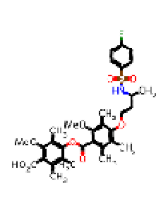 COc1c(C)c(OC(=O)c2c(C)c(C)c(OCCC(C)NS(=O)(=O)c3ccc(F)cc3)c(C)c2OC)c(C)c(C)c1C(=O)O